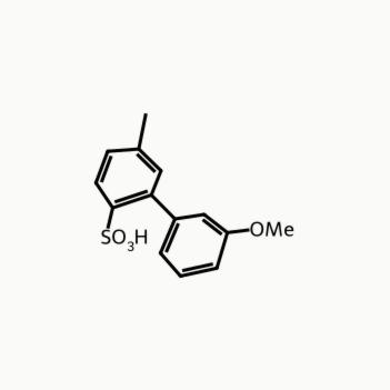 COc1cccc(-c2cc(C)ccc2S(=O)(=O)O)c1